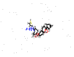 CSC(C)CCNC1CCC(Oc2ccc3c(c2)CCC(c2ccccc2C)O3)CC1